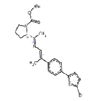 C/C(=C\N=C(/C)[C@@H]1CCCN1C(=O)OC(C)(C)C)c1ccc(-c2ccc(Br)s2)cc1